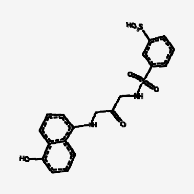 O=C(CNc1cccc2c(O)cccc12)CNS(=O)(=O)c1cccc(S(=O)(=O)O)c1